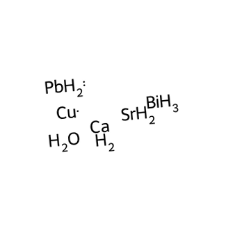 O.[BiH3].[CaH2].[Cu].[PbH2].[SrH2]